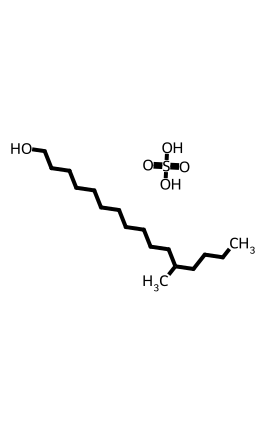 CCCCC(C)CCCCCCCCCCCO.O=S(=O)(O)O